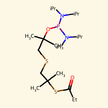 CCC(=O)SC(C)(C)CSCC(C)(C)OP(N(C(C)C)C(C)C)N(C(C)C)C(C)C